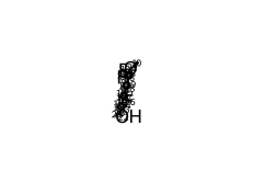 C=CCOc1ccc(-c2ccc(-c3ccc(C4CCC(C(C)O)CC4)c(F)c3)cc2)c(F)c1F